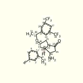 Cc1cc(F)ccc1[C@@H]1[C@@H](O[C@H](C)c2cc(C(F)(F)F)cc(C(F)(F)F)c2)CN2C(=O)CC(N)[C@@H]12